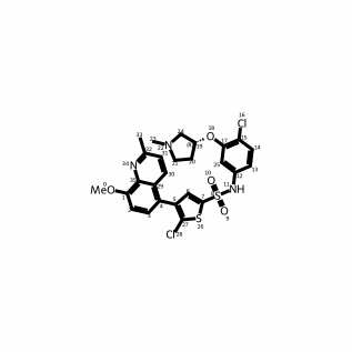 COc1ccc(-c2cc(S(=O)(=O)Nc3ccc(Cl)c(O[C@@H]4CCN(C)C4)c3)sc2Cl)c2ccc(C)nc12